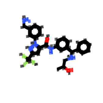 CC(O)CNC(c1ccccc1)c1cccc(NC(=O)c2cc(C(F)(F)F)nn2-c2cccc(CN)c2)c1